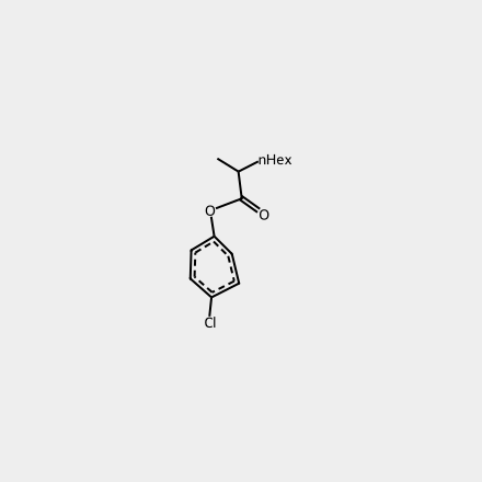 CCCCCCC(C)C(=O)Oc1ccc(Cl)cc1